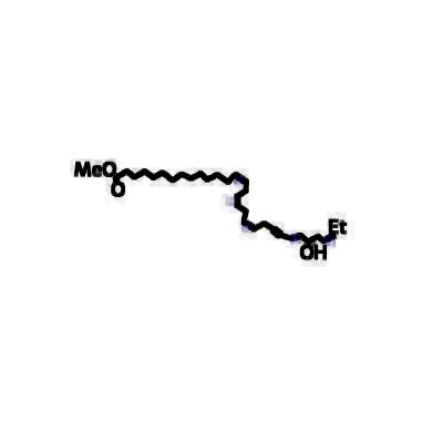 CC/C=C\C[C@H](O)/C=C/C#CC/C=C\C/C=C\C/C=C\CCCCCCCCCCCCC(=O)OC